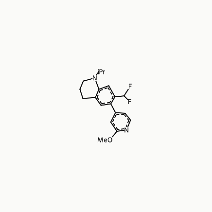 COc1cc(-c2cc3c(cc2C(F)F)N(C(C)C)CCC3)ccn1